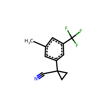 Cc1cc(C(F)(F)F)cc(C2(C#N)CC2)c1